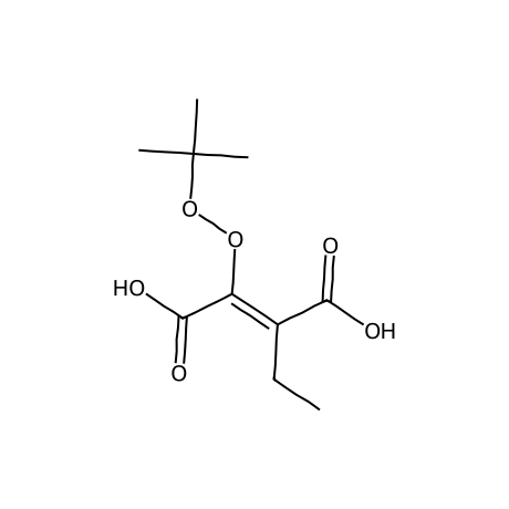 CC/C(C(=O)O)=C(/OOC(C)(C)C)C(=O)O